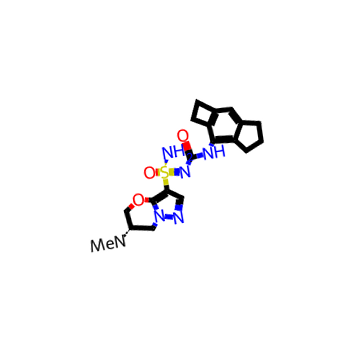 CN[C@@H]1COc2c([S@](N)(=O)=NC(=O)Nc3c4c(cc5c3CC5)CCC4)cnn2C1